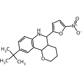 CC(C)(C)c1ccc2c(c1)C1OCCCC1C(c1ccc([N+](=O)[O-])o1)N2